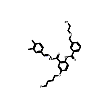 Cc1ccc(/C=N/NC(=O)c2cc(OCCCCF)ccc2NC(=O)c2cccc(CSCCO)c2)cc1C